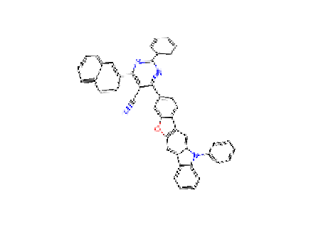 N#Cc1c(-c2ccc3ccccc3c2)nc(-c2ccccc2)nc1-c1ccc2c(c1)oc1cc3c4ccccc4n(-c4ccccc4)c3cc12